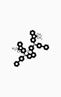 CC1(C)c2ccccc2-c2ccc(N(c3ccc(-c4ccccc4)cc3)c3ccc4c(c3)-c3cccc5ccc(N(c6ccc(-c7ccccc7)cc6)c6ccc7c(c6)C(C)(C)c6ccccc6-7)c(c35)O4)cc21